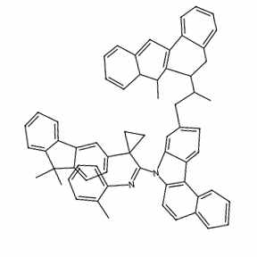 Cc1ccccc1/N=C(/n1c2cc(CC(C)C3Cc4ccccc4C4=C3C(C)C3C=CC=CC3=C4)ccc2c2c3ccccc3ccc21)C1(c2ccc3c(c2)-c2ccccc2C3(C)C)CC1